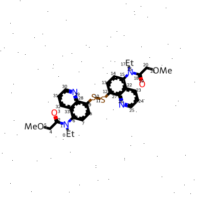 CCN(C(=O)COC)c1ccc(SSc2ccc(N(CC)C(=O)COC)c3cccnc23)c2ncccc12